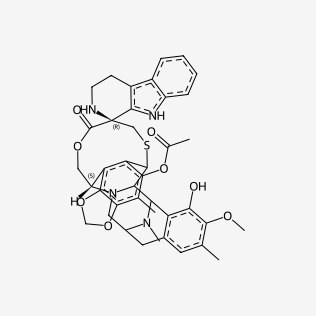 COc1c(C)cc2c(c1O)C1C3C4SC[C@]5(NCCc6c5[nH]c5ccccc65)C(=O)OC[C@H](c5c6c(c(C)c(OC(C)=O)c54)OCO6)N3CC(C2)N1C